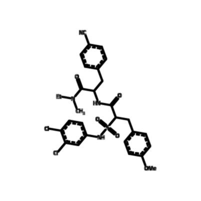 CCN(C)C(=O)C(Cc1ccc(C#N)cc1)NC(=O)C(Cc1ccc(OC)cc1)S(=O)(=O)Nc1ccc(Cl)c(Cl)c1